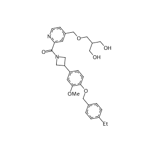 CCc1ccc(COc2ccc(C3CN(C(=O)c4cc(COCC(CO)CO)ccn4)C3)cc2OC)cc1